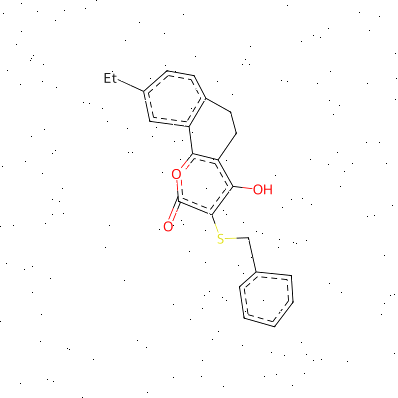 CCc1ccc2c(c1)-c1oc(=O)c(SCc3ccccc3)c(O)c1CC2